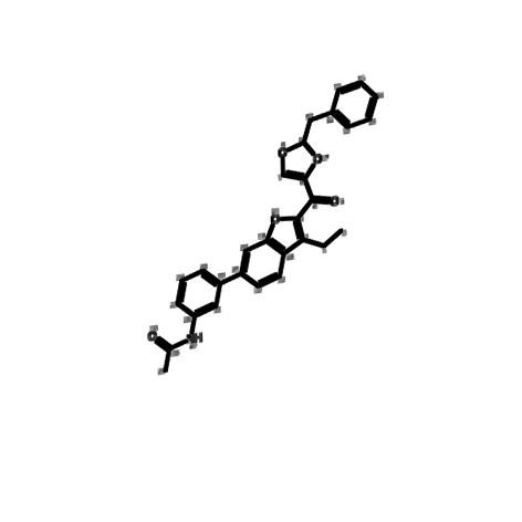 CCc1c(C(=O)C2=COC(Cc3ccccc3)O2)oc2cc(-c3cccc(NC(C)=O)c3)ccc12